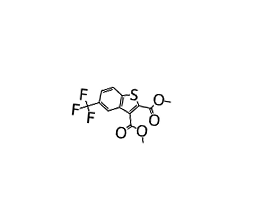 COC(=O)c1sc2ccc(C(F)(F)F)cc2c1C(=O)OC